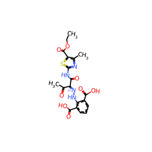 CCOC(=O)c1sc(NC(=O)/C(=N/Nc2c(C(=O)O)cccc2C(=O)O)C(C)=O)nc1C